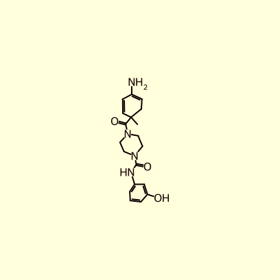 CC1(C(=O)N2CCN(C(=O)Nc3cccc(O)c3)CC2)C=CC(N)=CC1